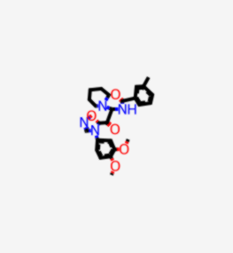 COc1ccc(N2C=NOC2C(=O)C(NC(=O)c2cccc(C)c2)N2CCCCC2)cc1OC